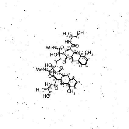 CNC(=O)C(O)(CCCC(O)(C(=O)NC)n1cc(C(=O)NC(C)CO)c2nc3c(C)cccc3cc2c1=O)n1cc(C(=O)NC(C)CO)c2nc3c(C)cccc3cc2c1=O